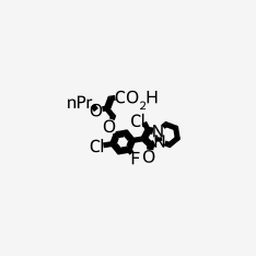 CCCO/C(=C/C(=O)O)COc1cc(-c2c(Cl)n3n(c2=O)CCCC3)c(F)cc1Cl